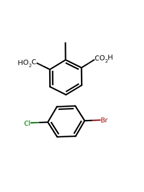 Cc1c(C(=O)O)cccc1C(=O)O.Clc1ccc(Br)cc1